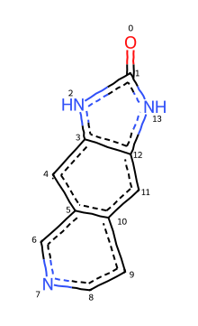 O=c1[nH]c2[c]c3cnccc3cc2[nH]1